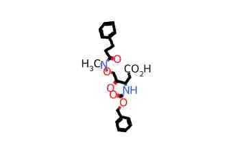 CN(OCC(=O)C(CC(=O)O)NC(=O)OCc1ccccc1)C(=O)CCc1ccccc1